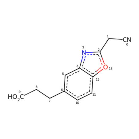 N#CCc1nc2cc(CCC(=O)O)ccc2o1